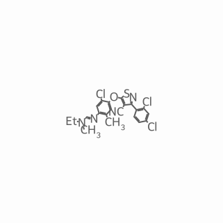 CCN(C)C=Nc1cc(Cl)c(Oc2snc(-c3ccc(Cl)cc3Cl)c2C#N)cc1C